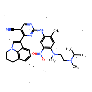 Cc1cc(N(C)CCN(C)C(C)C)c([N+](=O)[O-])cc1Nc1ncc(C#N)c(-c2cn3c4c(cccc24)CCC3)n1